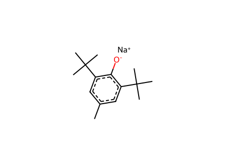 Cc1cc(C(C)(C)C)c([O-])c(C(C)(C)C)c1.[Na+]